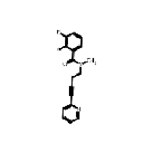 CN(CCC#Cc1ccccn1)C(=O)c1cccc(F)c1F